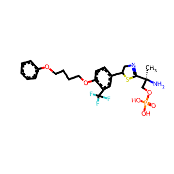 C[C@](N)(COP(=O)(O)O)C1=NCC(c2ccc(OCCCCOc3ccccc3)c(C(F)(F)F)c2)S1